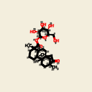 CC1(C(=O)O[C@@H]2O[C@H](CO)[C@@H](O)[C@H](O)[C@H]2O)CCC[C@@]2(C)[C@H]1CC[C@@]13CC(=O)[C@](C)(CC[C@@H]12)C3